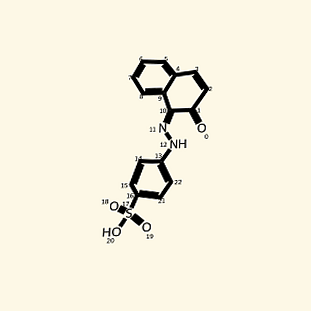 O=C1C=Cc2ccccc2/C1=N/Nc1ccc(S(=O)(=O)O)cc1